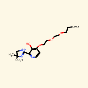 COCCOCCOCCOc1ccnc(C2=NC(C)(C(=O)O)CN2)c1O